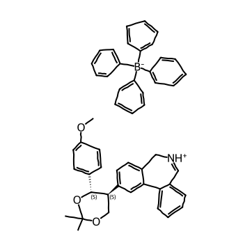 COc1ccc([C@H]2OC(C)(C)OC[C@@H]2c2ccc3c(c2)-c2ccccc2C=[NH+]C3)cc1.c1ccc([B-](c2ccccc2)(c2ccccc2)c2ccccc2)cc1